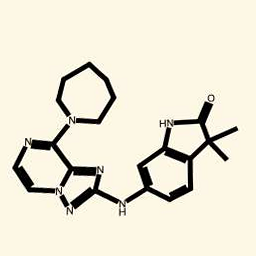 CC1(C)C(=O)Nc2cc(Nc3nc4c(N5CCCCCC5)nccn4n3)ccc21